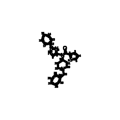 O=C(c1cccs1)N(c1cnn(-c2ccccc2)n1)C1CCN(Cc2ccccc2)CC1